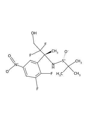 CC(C)(C)[S@@+]([O-])N[C@](C)(c1cc([N+](=O)[O-])cc(F)c1F)C(F)(F)CO